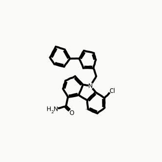 NC(=O)c1cccc2c1c1[c]ccc(Cl)c1n2Cc1cccc(-c2ccccc2)c1